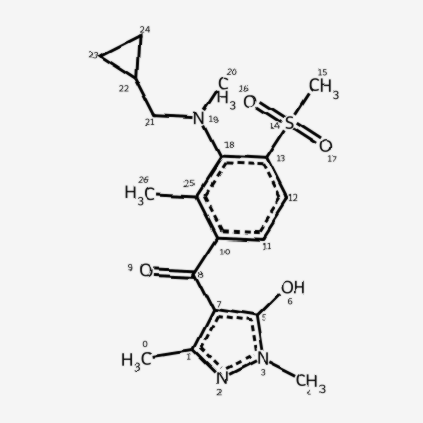 Cc1nn(C)c(O)c1C(=O)c1ccc(S(C)(=O)=O)c(N(C)CC2CC2)c1C